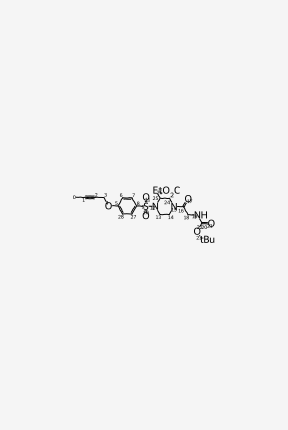 CC#CCOc1ccc(S(=O)(=O)N2CCN(C(=O)CNC(=O)OC(C)(C)C)CC2C(=O)OCC)cc1